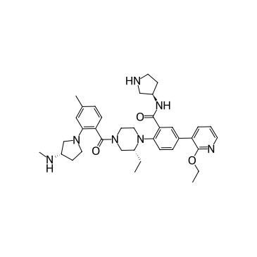 CCOc1ncccc1-c1ccc(N2CCN(C(=O)c3ccc(C)cc3N3CC[C@H](NC)C3)C[C@H]2CC)c(C(=O)N[C@@H]2CCNC2)c1